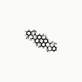 CC(C)c1cccc(C(C)C)c1N1C(=O)c2cc(F)c3c4c(F)cc5c6c(cc(F)c(c7c(F)cc(c2c37)C1=O)c64)C(=O)N(c1c(C(C)C)cccc1C(C)C)C5=O